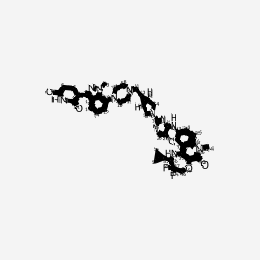 Cn1nc(C2CCC(=O)NC2=O)c2cccc(N3CCN(CC4[C@H]5CN(c6ncc(Cl)c(Nc7ccc8c(c7)c7c(c(=O)n8C)OCC(F)(F)C(C8CC8)N7)n6)C[C@@H]45)CC3)c21